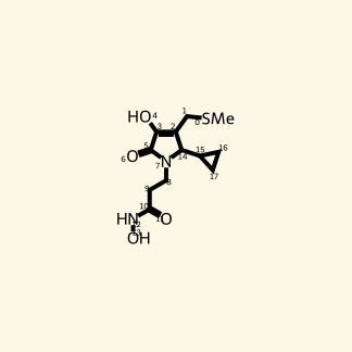 CSCC1=C(O)C(=O)N(CCC(=O)NO)C1C1CC1